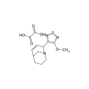 COc1nsnc1C1C=CC2CCCN1C2.O=C(O)C(=O)O